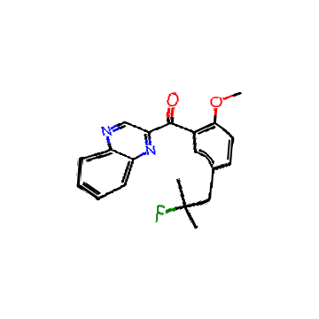 COc1ccc(CC(C)(C)F)cc1C(=O)c1cnc2ccccc2n1